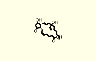 C=CC(O)(C/C=C/[C@H]1[C@H](O)CC(=O)[C@@H]1C/C=C\CCCC(=O)O)CCCCCC